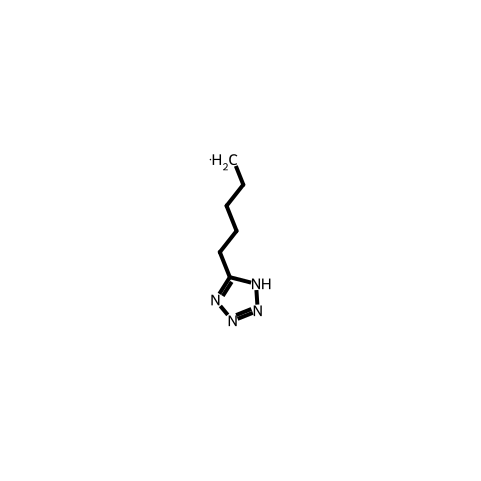 [CH2]CCCCc1nnn[nH]1